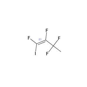 CC(F)(F)/C(F)=C(/F)I